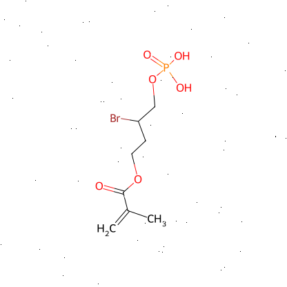 C=C(C)C(=O)OCCC(Br)COP(=O)(O)O